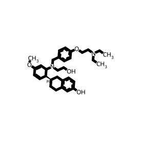 CCN(CC)CCOc1ccc(CN(CCO)C2C=C(OC)C=CC2[C@@H]2CCc3cc(O)ccc3C2)cc1